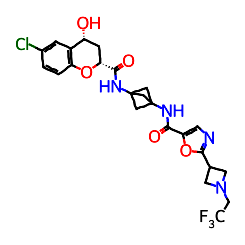 O=C(NC12CC(NC(=O)[C@H]3C[C@@H](O)c4cc(Cl)ccc4O3)(C1)C2)c1cnc(C2CN(CC(F)(F)F)C2)o1